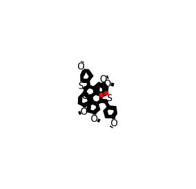 COc1ccc(-c2sc3cc(OC)ccc3c2-c2cc(OC)ccc2C(=O)c2ccc(OC)cc2-c2c(-c3ccc(OC)cc3)sc3cc(OC)ccc23)cc1